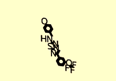 COc1ccc(CNc2nn3cc(-c4cccc(OC(F)(F)F)c4)nc3s2)cc1